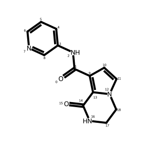 O=C(Nc1cccnc1)c1ccn2c1C(=O)NCC2